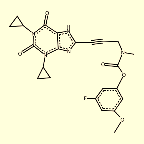 COc1cc(F)cc(OC(=O)N(C)CC#Cc2nc3c([nH]2)c(=O)n(C2CC2)c(=O)n3C2CC2)c1